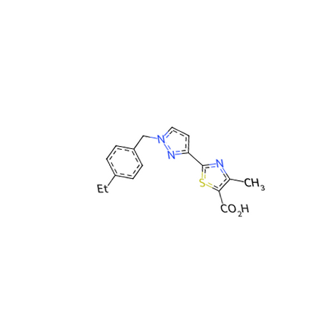 CCc1ccc(Cn2ccc(-c3nc(C)c(C(=O)O)s3)n2)cc1